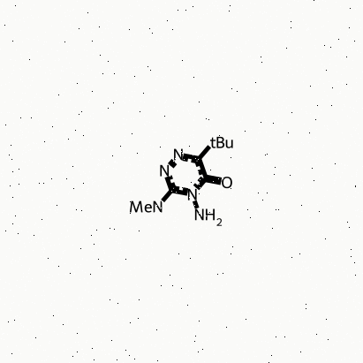 CNc1nnc(C(C)(C)C)c(=O)n1N